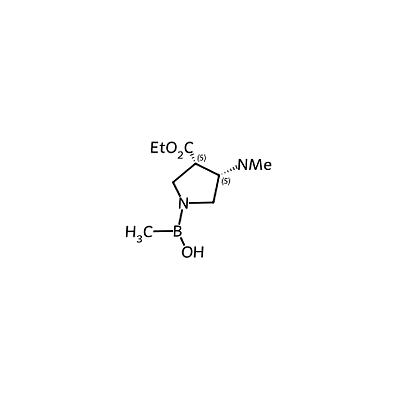 CCOC(=O)[C@H]1CN(B(C)O)C[C@H]1NC